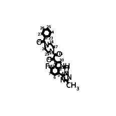 Cc1n[nH]c(-c2ccc(F)c3c(C(=O)C(=O)N4CCN(C(=O)c5ccccc5)CC4)c[nH]c23)n1